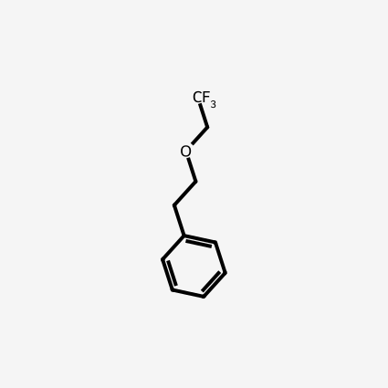 FC(F)(F)COCCc1ccccc1